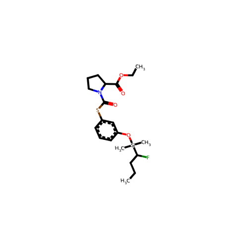 CCCC(F)[Si](C)(C)Oc1cccc(SC(=O)N2CCCC2C(=O)OCC)c1